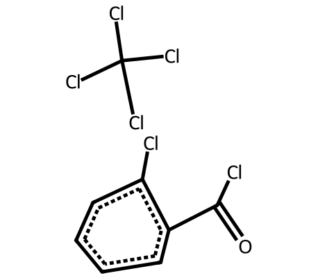 ClC(Cl)(Cl)Cl.O=C(Cl)c1ccccc1Cl